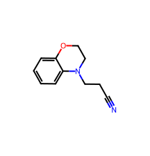 N#CCCN1CCOc2ccccc21